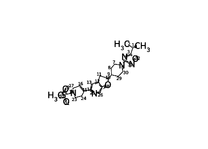 CC(C)c1nc(N2CCC(C3Cc4cc(C5=CCN(S(C)(=O)=O)CC5)ncc4O3)CC2)no1